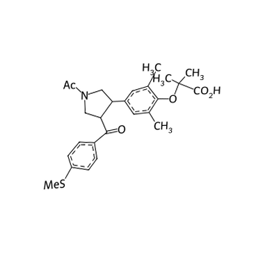 CSc1ccc(C(=O)C2CN(C(C)=O)CC2c2cc(C)c(OC(C)(C)C(=O)O)c(C)c2)cc1